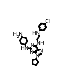 NC1CCC(Nc2nc(NCCNc3ccc(Cl)cc3)c3ncn(C4CCCC4)c3n2)CC1